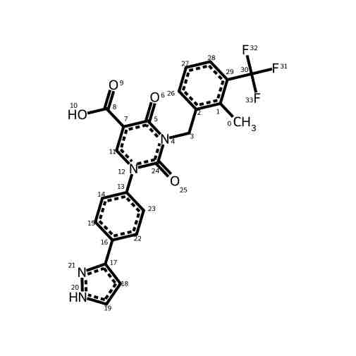 Cc1c(Cn2c(=O)c(C(=O)O)cn(-c3ccc(-c4cc[nH]n4)cc3)c2=O)cccc1C(F)(F)F